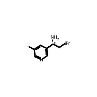 CC(C)C[C@@H](N)c1cncc(F)c1